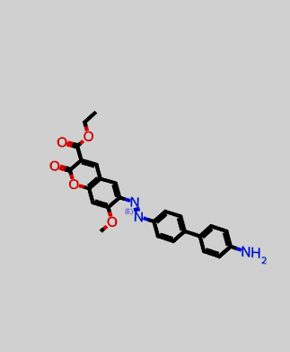 CCOC(=O)c1cc2cc(/N=N/c3ccc(-c4ccc(N)cc4)cc3)c(OC)cc2oc1=O